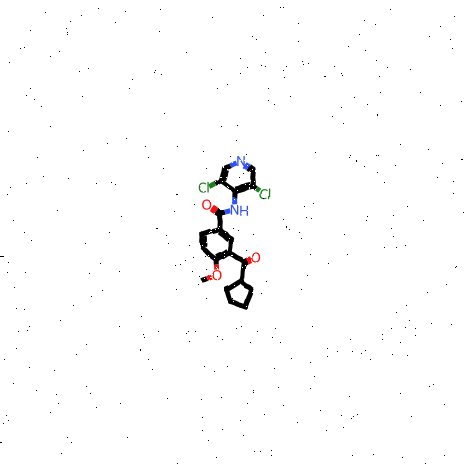 COc1ccc(C(=O)Nc2c(Cl)cncc2Cl)cc1C(=O)C1CCCC1